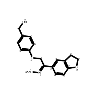 CON=C(COc1ccc(CO)cc1)c1ccc2c(c1)CCO2